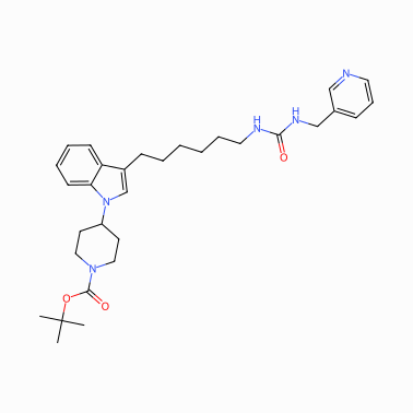 CC(C)(C)OC(=O)N1CCC(n2cc(CCCCCCNC(=O)NCc3cccnc3)c3ccccc32)CC1